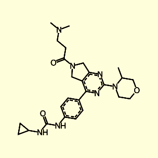 CC1COCCN1c1nc2c(c(-c3ccc(NC(=O)NC4CC4)cc3)n1)CN(C(=O)CCN(C)C)C2